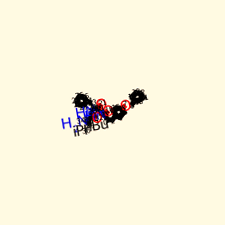 CCCCC(Cc1ccc(OCc2ccccc2)cc1)C(=O)NC(=O)[C@H](Cc1ccccc1)NC(=O)[C@@H](N)CC(C)C